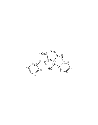 O=c1ccoc(C(O)c2ccccc2F)c1OCc1ccccc1